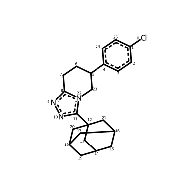 Clc1ccc(C2CCc3nnc(C45CC6CC(CC(C6)C4)C5)n3C2)cc1